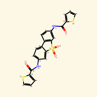 O=C(Nc1ccc2c(c1)S(=O)(=O)c1cc(NC(=O)c3cccs3)ccc1-2)c1cccs1